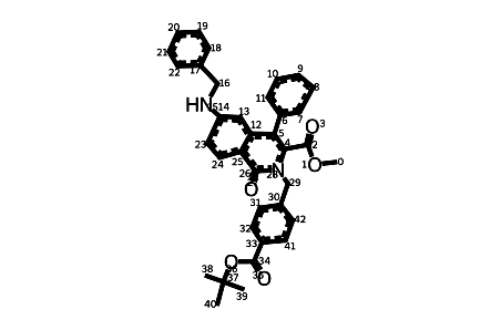 COC(=O)c1c(-c2ccccc2)c2cc(NCc3ccccc3)ccc2c(=O)n1Cc1ccc(C(=O)OC(C)(C)C)cc1